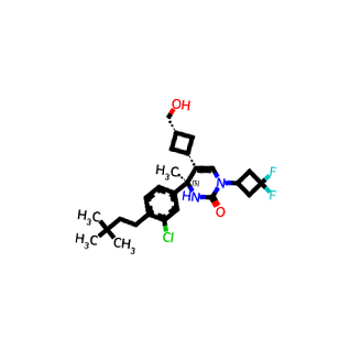 CC(C)(C)CCc1ccc([C@]2(C)NC(=O)N(C3CC(F)(F)C3)C=C2[C@H]2C[C@@H](CO)C2)cc1Cl